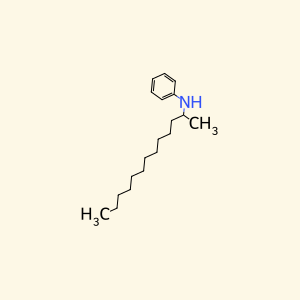 CCCCCCCCCCCC(C)Nc1ccccc1